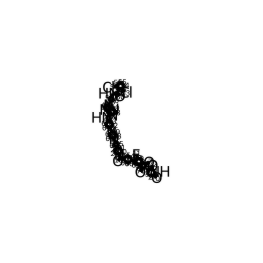 O=C1CC[C@H](N2C(=O)c3cc(F)c(N4CCC(C(=O)N5CCC6(CC5)CC(N5CCN(c7ccc(Nc8ncnc9c8ncn9C8CC(NC(=O)c9c(Cl)cccc9Cl)C8)cc7)CC5)C6)CC4)cc3C2=O)C(=O)N1